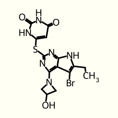 CCc1[nH]c2nc(Sc3cc(=O)[nH]c(=O)[nH]3)nc(N3CC(O)C3)c2c1Br